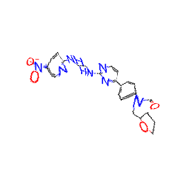 O=CN(CC1CCCO1)c1ccc(-c2ccnc(NCCNc3ccc([N+](=O)[O-])cn3)n2)cc1